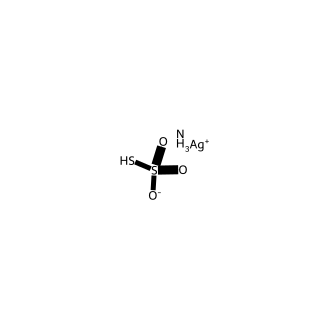 N.O=S(=O)([O-])S.[Ag+]